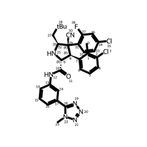 Cc1c(Cl)cccc1[C@H]1[C@H](C(=O)Nc2cccc(-c3nnnn3C)c2)N[C@@H](CC(C)(C)C)[C@]1(C#N)c1ccc(Cl)cc1F